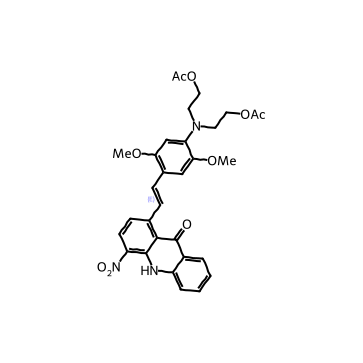 COc1cc(N(CCOC(C)=O)CCOC(C)=O)c(OC)cc1/C=C/c1ccc([N+](=O)[O-])c2[nH]c3ccccc3c(=O)c12